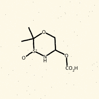 CC1(C)OCC(OC(=O)O)N[S+]1[O-]